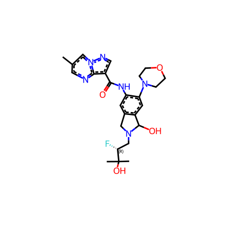 Cc1cnc2c(C(=O)Nc3cc4c(cc3N3CCOCC3)C(O)N(C[C@@H](F)C(C)(C)O)C4)cnn2c1